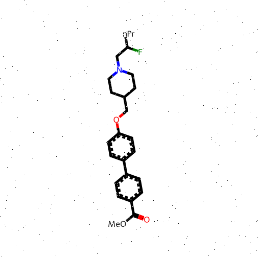 CCCC(F)CN1CCC(COc2ccc(-c3ccc(C(=O)OC)cc3)cc2)CC1